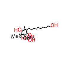 COc1c(O)c(C)c(CCCCCCCCCCO)c(OP(=O)(O)O)c1OC